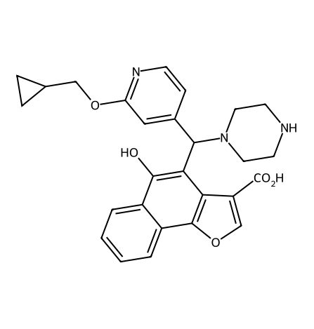 O=C(O)c1coc2c1c(C(c1ccnc(OCC3CC3)c1)N1CCNCC1)c(O)c1ccccc12